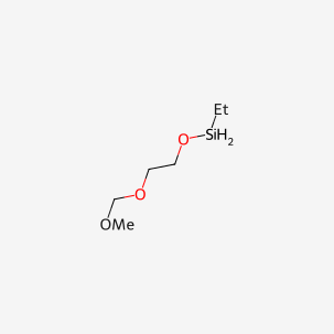 CC[SiH2]OCCOCOC